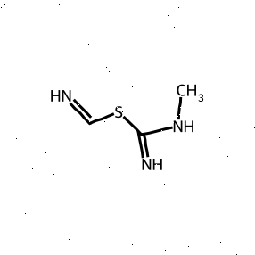 CNC(=N)SC=N